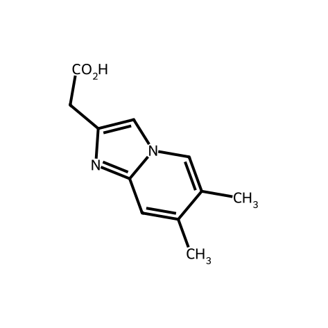 Cc1cc2nc(CC(=O)O)cn2cc1C